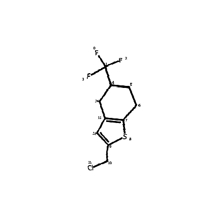 FC(F)(F)C1CCc2sc(CCl)cc2C1